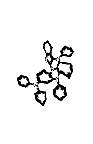 c1ccc(N(c2ccccc2)c2ccc3c(c2)N(c2ccccc2)c2cccc4c2B3c2oc3c(c2N4c2ccccc2)CCCC3)cc1